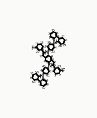 Fc1cccc(-c2cc3cc4c(cc(-c5cccc(F)c5)n4-c4ccc(-n5c6ccccc6c6ccccc65)cc4)cc3n2-c2ccc(-n3c4ccccc4c4ccccc43)cc2)c1